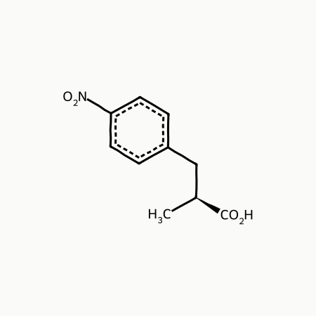 C[C@@H](Cc1ccc([N+](=O)[O-])cc1)C(=O)O